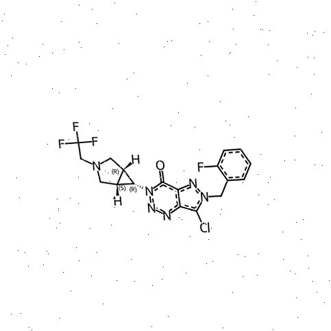 O=c1c2nn(Cc3ccccc3F)c(Cl)c2nnn1[C@@H]1[C@@H]2CN(CC(F)(F)F)C[C@@H]21